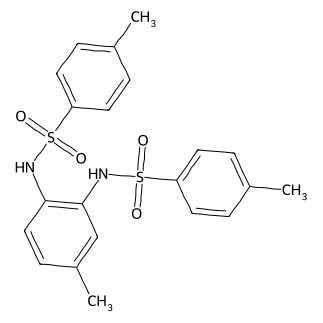 Cc1ccc(S(=O)(=O)Nc2ccc(C)cc2NS(=O)(=O)c2ccc(C)cc2)cc1